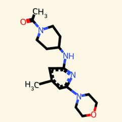 CC(=O)N1CCC(Nc2cc(C)cc(N3CCOCC3)n2)CC1